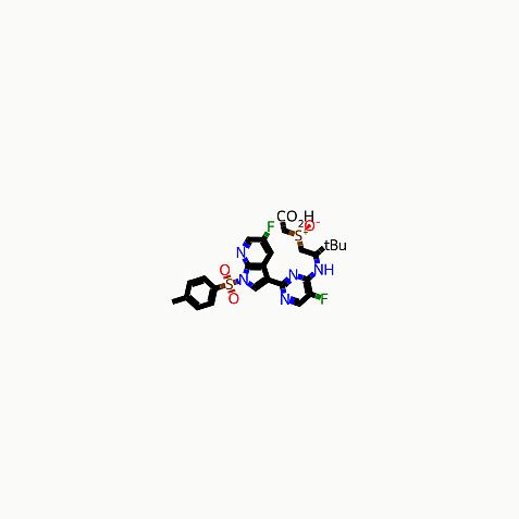 Cc1ccc(S(=O)(=O)n2cc(-c3ncc(F)c(NC(C[S@+]([O-])CC(=O)O)C(C)(C)C)n3)c3cc(F)cnc32)cc1